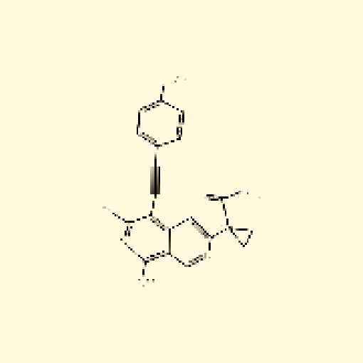 CCc1nc(NC)c2cnc(C3(C(N)=O)CC3)cc2c1C#Cc1ccc(OC)cc1